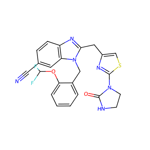 N#Cc1ccc2nc(Cc3csc(N4CCNC4=O)n3)n(Cc3ccccc3OC(F)F)c2c1